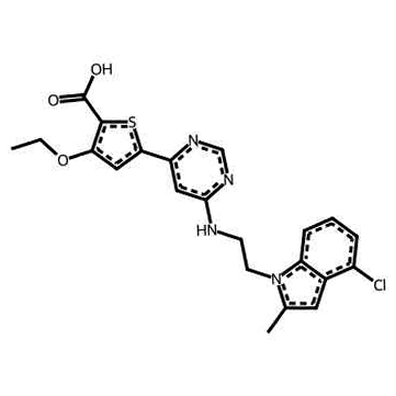 CCOc1cc(-c2cc(NCCn3c(C)cc4c(Cl)cccc43)ncn2)sc1C(=O)O